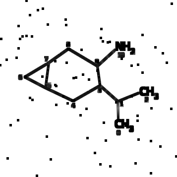 CC(C)C1CC2CC2CC1N